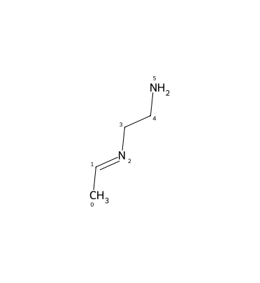 CC=NCCN